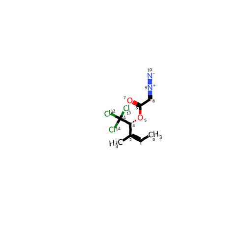 CC=C(C)[C@@H](OC(=O)C=[N+]=[N-])C(Cl)(Cl)Cl